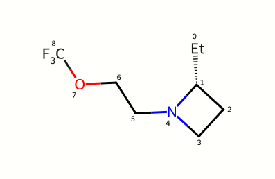 CC[C@@H]1CCN1CCOC(F)(F)F